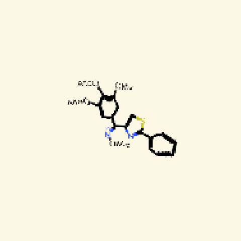 CO/N=C(/c1cc(OC)c(OC)c(OC)c1)c1csc(-c2ccccc2)n1